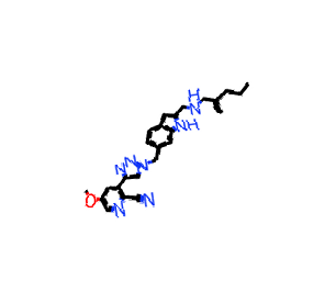 C=C(CCC)CNCc1cc2ccc(Cn3cc(-c4cc(OC)cnc4C#N)nn3)cc2[nH]1